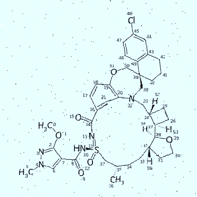 COc1nn(C)cc1C(=O)N[S@@]1(=O)=NC(=O)c2ccc3c(c2)N(C[C@@H]2CC[C@H]2[C@H]2OCC[C@@H]2CC[C@H](C)C1)C[C@@]1(CCCc2cc(Cl)ccc21)CO3